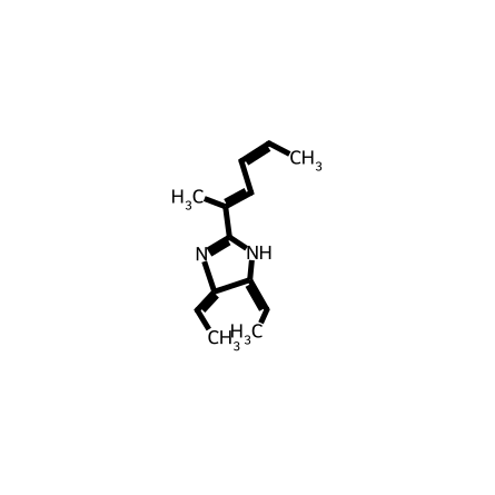 C/C=C\C=C(/C)c1nc(=C/C)/c(=C\C)[nH]1